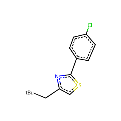 CC(C)(C)Cc1csc(-c2ccc(Cl)cc2)n1